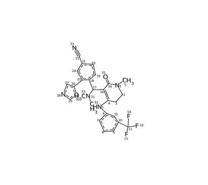 CN1CCC(Nc2cccc(C(F)(F)F)c2)=C(C(c2ccc(C#N)cc2-c2cnco2)N(C)C)C1=O